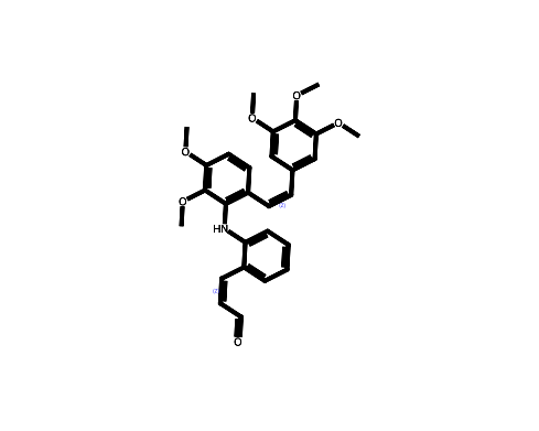 COc1cc(/C=C\c2ccc(OC)c(OC)c2Nc2ccccc2/C=C\C=O)cc(OC)c1OC